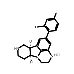 Cl.Clc1ccc(-c2cc3c4c(c2)[C@@H]2CNCC[C@@H]2N4CCS3)c(Cl)c1